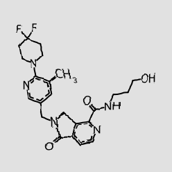 Cc1cc(CN2Cc3c(ccnc3C(=O)NCCCO)C2=O)cnc1N1CCC(F)(F)CC1